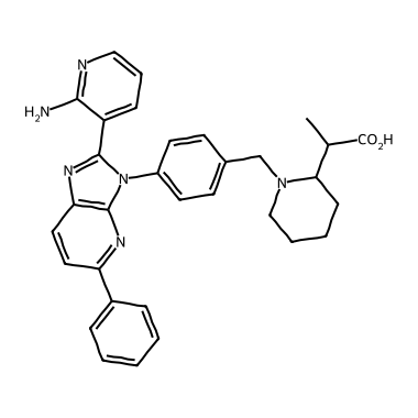 CC(C(=O)O)C1CCCCN1Cc1ccc(-n2c(-c3cccnc3N)nc3ccc(-c4ccccc4)nc32)cc1